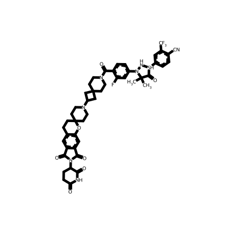 CC1(C)C(=O)[SH](c2ccc(C#N)c(C(F)(F)F)c2)NN1c1ccc(C(=O)N2CCC3(CC2)CC(N2CCC4(CCc5cc6c(cc5O4)C(=O)N(C4CCC(=O)NC4=O)C6=O)CC2)C3)c(F)c1